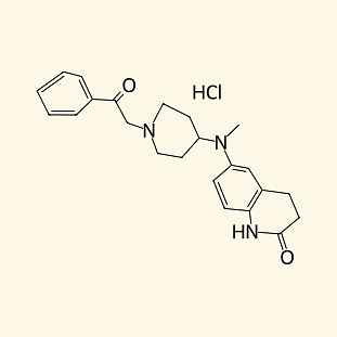 CN(c1ccc2c(c1)CCC(=O)N2)C1CCN(CC(=O)c2ccccc2)CC1.Cl